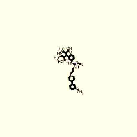 COc1cccc(C2CCN(CCCN/C(=N\C#N)Nc3cccc(C4C(C(=O)O)=C(C)NC(C)=C4C(=O)O)c3)CC2)c1